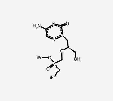 CC(C)OP(=O)(CO[C@H](CO)Cn1ncc(N)nc1=O)OC(C)C